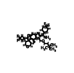 C[Si](C)(C)CCOCn1c([C@@H](N)C2CCC(F)(F)CC2)nc2ccc(C3(C(=O)N4CC(F)(F)C4)CCOCC3)c(F)c21